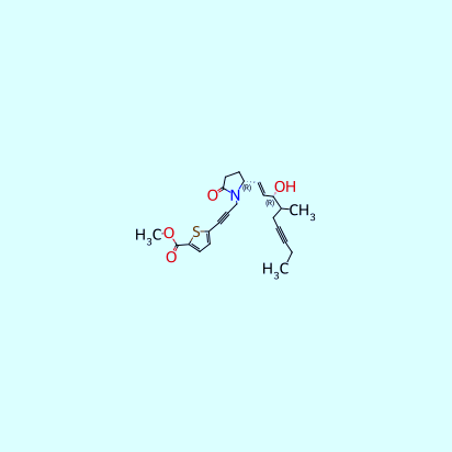 CCC#CCC(C)[C@@H](O)C=C[C@H]1CCC(=O)N1CC#Cc1ccc(C(=O)OC)s1